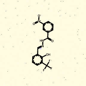 O=C(N/N=C/c1cccc(C(F)(F)F)c1O)c1cccc([N+](=O)[O-])c1